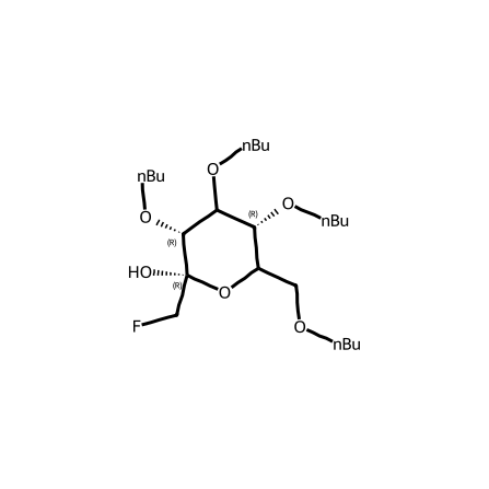 CCCCOCC1O[C@@](O)(CF)[C@H](OCCCC)C(OCCCC)[C@@H]1OCCCC